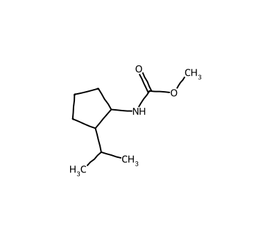 COC(=O)NC1CCCC1C(C)C